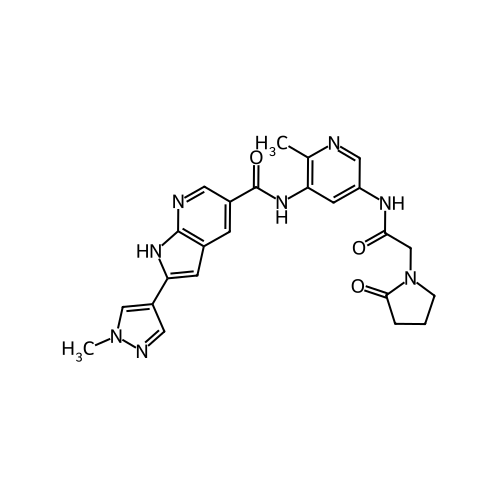 Cc1ncc(NC(=O)CN2CCCC2=O)cc1NC(=O)c1cnc2[nH]c(-c3cnn(C)c3)cc2c1